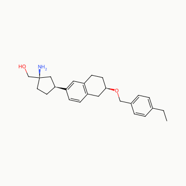 CCc1ccc(CO[C@@H]2CCc3cc([C@H]4CC[C@](N)(CO)C4)ccc3C2)cc1